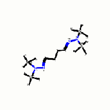 C[Si](C)(C)N(N=CCCC=NN([Si](C)(C)C)[Si](C)(C)C)[Si](C)(C)C